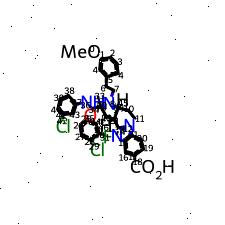 COc1cccc(CCN2[C@H]3CCn4c(nc5cc(C(=O)O)ccc54)[C@H]3[C@H](c3cccc(Cl)c3F)[C@]2(C)C(=O)Nc2cccc(Cl)c2)c1